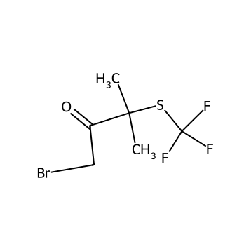 CC(C)(SC(F)(F)F)C(=O)CBr